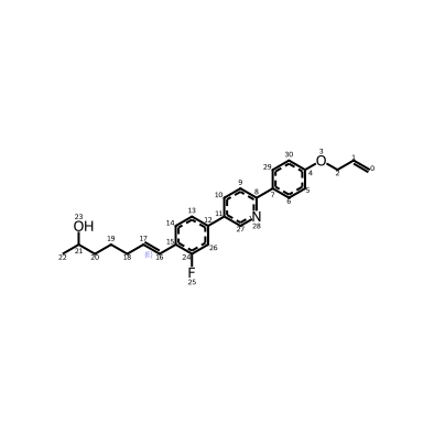 C=CCOc1ccc(-c2ccc(-c3ccc(/C=C/CCCC(C)O)c(F)c3)cn2)cc1